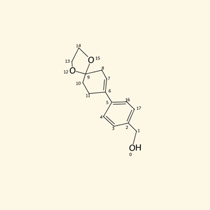 OCc1ccc(C2=CCC3(CC2)OCCO3)cc1